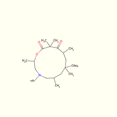 CCCN1CC(C)CC(C)(OC)CC(C)C(=O)C(C)(C)C(=O)OC(C)C1